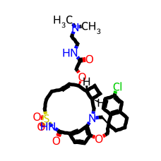 CN(C)CCNC(=O)CO[C@@H]1/C=C/CCCS(=O)(=O)NC(=O)c2ccc3c(c2)N(C[C@@H]2CC[C@H]21)C[C@@]1(CCCc2cc(Cl)ccc21)CO3